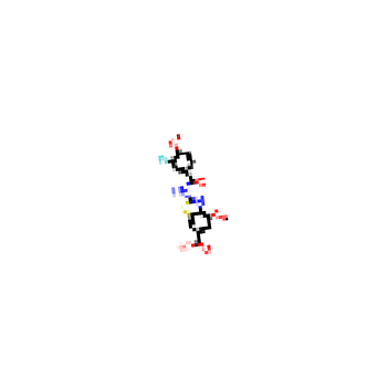 COc1ccc(C(=O)Nc2nc3c(OC)cc(C(=O)O)cc3s2)cc1F